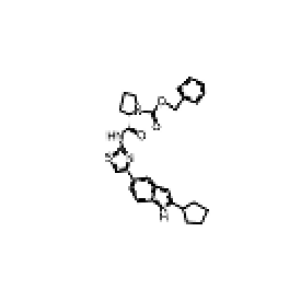 O=C(Nc1nc(-c2ccc3[nH]c(C4CCCC4)cc3c2)cs1)[C@@H]1CCCN1C(=O)OCc1ccccc1